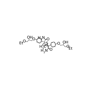 CCOCC(O)COc1ccc(C(C)(SC(C)(C(N)=O)c2ccc(OCC(O)COCC)cc2)C(N)=O)cc1